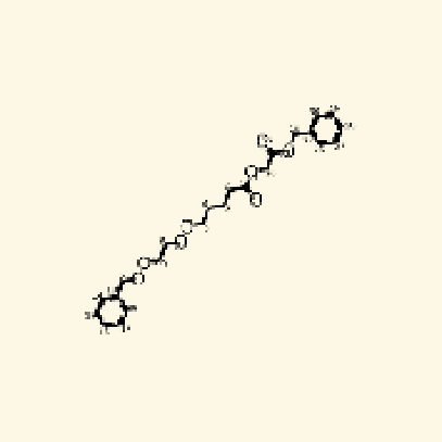 O=C(CCCCOOCCOOCc1ccccc1)OCC(=O)OCc1ccccc1